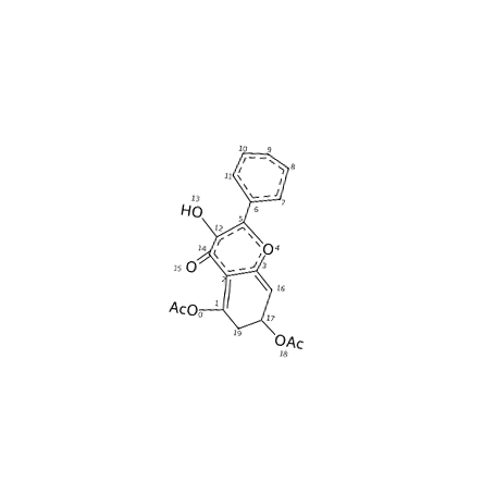 CC(=O)OC1=c2c(oc(-c3ccccc3)c(O)c2=O)=CC(OC(C)=O)C1